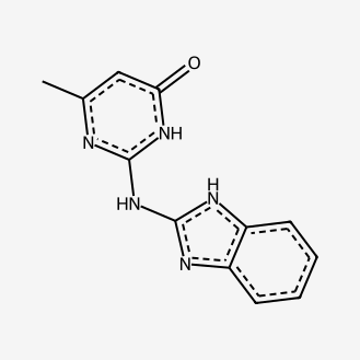 Cc1cc(=O)[nH]c(Nc2nc3ccccc3[nH]2)n1